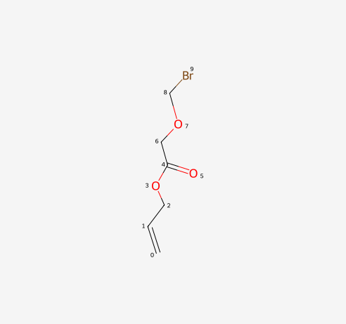 C=CCOC(=O)COCBr